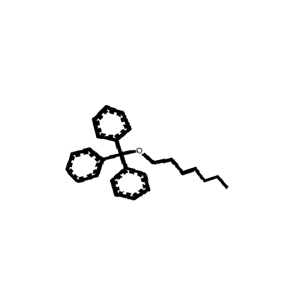 CCCCC[CH]COC(c1ccccc1)(c1ccccc1)c1ccccc1